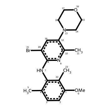 COc1ccc(C)c(Nc2nc(C)c(N3CCOCC3)cc2Br)c1C